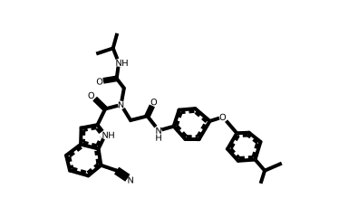 CC(C)NC(=O)CN(CC(=O)Nc1ccc(Oc2ccc(C(C)C)cc2)cc1)C(=O)c1cc2cccc(C#N)c2[nH]1